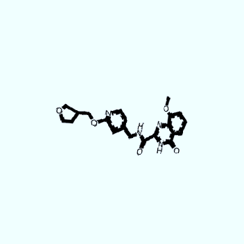 COc1cccc2c(=O)[nH]c(C(=O)NCc3ccnc(OCC4CCOC4)c3)nc12